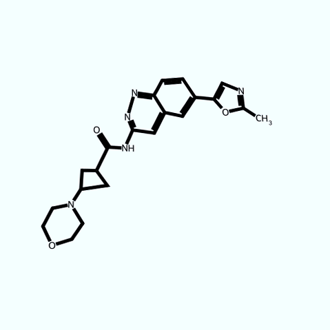 Cc1ncc(-c2ccc3nnc(NC(=O)C4CC(N5CCOCC5)C4)cc3c2)o1